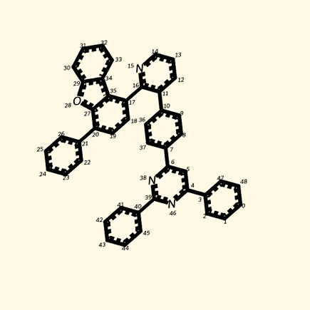 c1ccc(-c2cc(-c3ccc(-c4cccnc4-c4ccc(-c5ccccc5)c5oc6ccccc6c45)cc3)nc(-c3ccccc3)n2)cc1